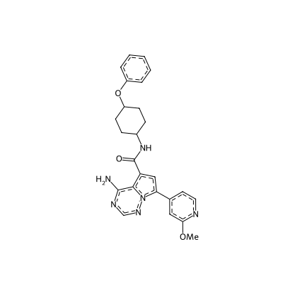 COc1cc(-c2cc(C(=O)NC3CCC(Oc4ccccc4)CC3)c3c(N)ncnn23)ccn1